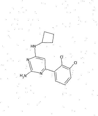 Nc1nc(NC2CCC2)cc(-c2cccc(Cl)c2Cl)n1